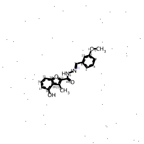 COc1cccc(/C=N/NC(=O)c2oc3cccc(O)c3c2C)c1